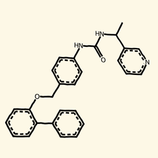 CC(NC(=O)Nc1ccc(COc2ccccc2-c2ccccc2)cc1)c1cccnc1